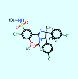 CCOc1cc(Cl)c(S(=O)(=O)NC(C)(C)C)cc1C1=N[C@@](C)(c2ccc(Cl)cc2)[C@@](C)(c2ccc(Cl)cc2)N1C(=O)Cl